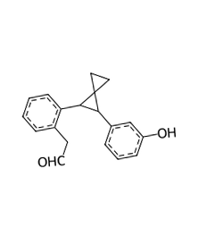 O=CCc1ccccc1C1C(c2cccc(O)c2)C12CC2